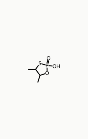 CC1OP(=O)(O)SC1C